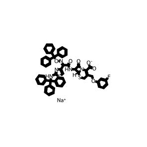 O=C([O-])C1=C(COc2cccc(F)c2)CS[C@@H]2C(NC(=O)/C(=N/OC(c3ccccc3)(c3ccccc3)c3ccccc3)c3csc(NC(c4ccccc4)(c4ccccc4)c4ccccc4)n3)C(=O)N12.[Na+]